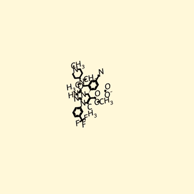 COC(=O)C1=C(C)N(c2cccc(C(F)(F)F)c2)c2n[nH]c(=O)n2[C@@H]1c1ccc(C#N)cc1C[N+](C)(C)C1CCN(C)CC1.O=C[O-]